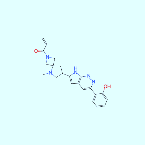 C=CC(=O)N1CC2(CC(c3cc4cc(-c5ccccc5O)nnc4[nH]3)CN2C)C1